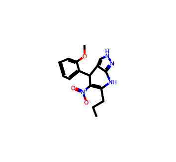 CCCC1=C([N+](=O)[O-])C(c2ccccc2OC)c2c[nH]nc2N1